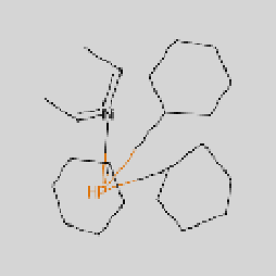 C/[CH]=[Ni](=[CH]\C)/[PH](C1CCCCC1)(C1CCCCC1)C1CCCCC1